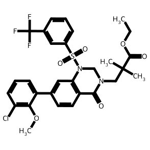 CCOC(=O)C(C)(C)CN1CN(S(=O)(=O)c2cccc(C(F)(F)F)c2)c2cc(-c3cccc(Cl)c3OC)ccc2C1=O